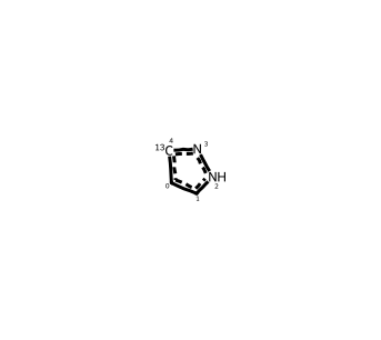 c1c[nH]n[13cH]1